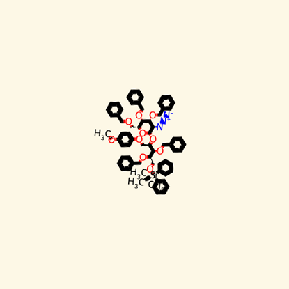 COc1ccc(OC[C@@H](OC2O[C@H](COCc3ccccc3)[C@@H](OCc3ccccc3)[C@H](OCc3ccccc3)[C@H]2N=[N+]=[N-])[C@@H](OCc2ccccc2)[C@H](CO[Si](c2ccccc2)(c2ccccc2)C(C)(C)C)OCc2ccccc2)cc1